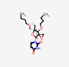 CCCCOC[C@@]1(CF)O[C@@H](n2ccc(=O)[nH]c2=O)[C@]2(CO2)[C@@H]1OCCCC